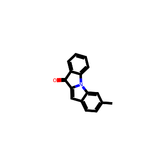 Cc1ccc2cc3n(c2c1)-c1ccccc1C3=O